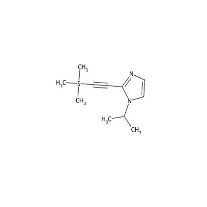 CC(C)n1ccnc1C#CS(C)(C)C